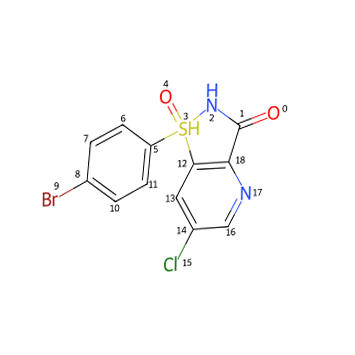 O=C1N[SH](=O)(c2ccc(Br)cc2)c2cc(Cl)cnc21